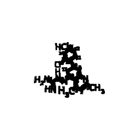 Cc1cc(C)c2c(n1)CC(c1ccccc1Cl)CC2=NNC(=N)N.Cl